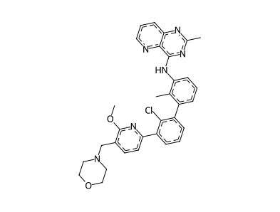 COc1nc(-c2cccc(-c3cccc(Nc4nc(C)nc5cccnc45)c3C)c2Cl)ccc1CN1CCOCC1